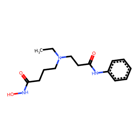 CCN(CCCC(=O)NO)CCC(=O)Nc1ccccc1